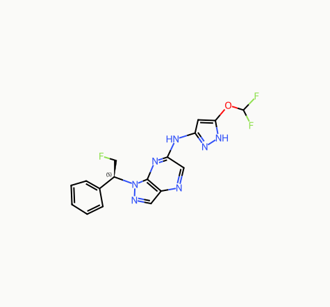 FC[C@H](c1ccccc1)n1ncc2ncc(Nc3cc(OC(F)F)[nH]n3)nc21